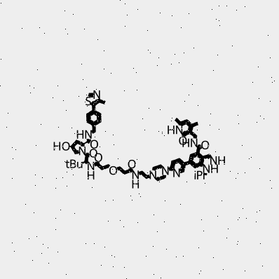 Cc1cc(C)c(CNC(=O)c2cc(-c3ccc(N4CCN(CCNC(=O)CCOCCC(=O)N[C@H](C(=O)N5C[C@H](O)C[C@H]5C(=O)NCc5ccc(-c6scnc6C)cc5)C(C)(C)C)CC4)nc3)cc(NC(C)C)c2C=N)c(=O)[nH]1